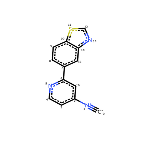 [C-]#[N+]c1ccnc(-c2ccc3scnc3c2)c1